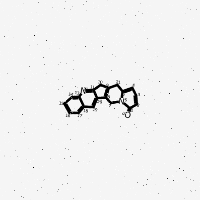 O=c1cccc2n1CC1=C(Cc3nc4ccccc4cc31)C2